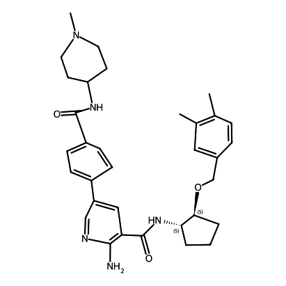 Cc1ccc(CO[C@H]2CCC[C@@H]2NC(=O)c2cc(-c3ccc(C(=O)NC4CCN(C)CC4)cc3)cnc2N)cc1C